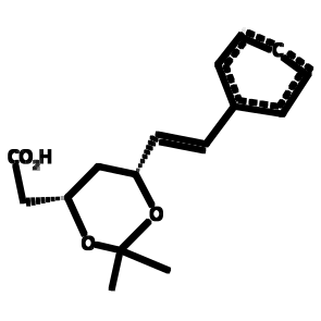 CC1(C)O[C@H](CC(=O)O)C[C@H](C=Cc2ccccc2)O1